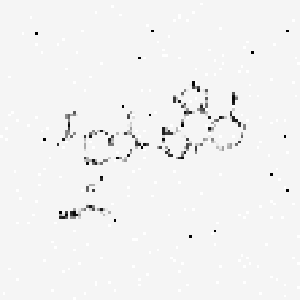 CNC(=O)OCc1nc(N(C)C(C)C)cc2c1CN(c1cccc(-c3nncn3-c3c(F)cccc3F)n1)C2=O